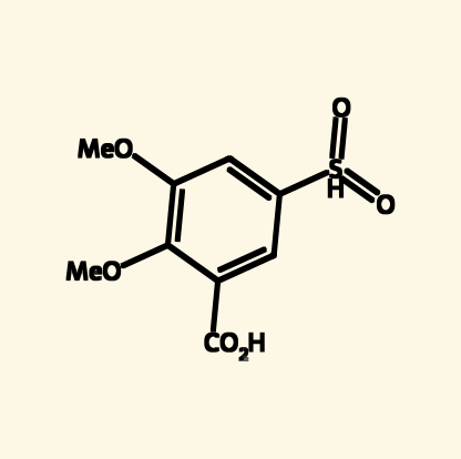 COc1cc([SH](=O)=O)cc(C(=O)O)c1OC